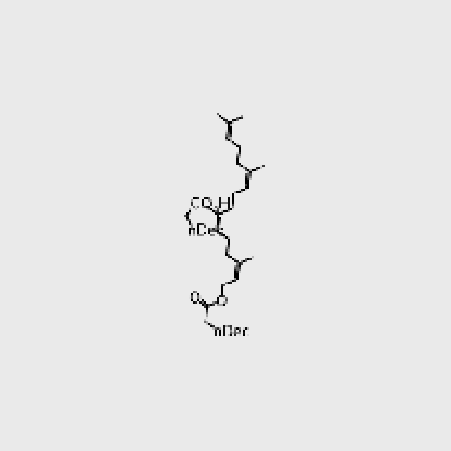 CCCCCCCCCCCC(=O)O.CCCCCCCCCCCC(=O)OCC=C(C)CCC=C(C)CCC=C(C)CCC=C(C)C